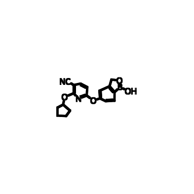 N#Cc1ccc(Oc2ccc3c(c2)COB3O)nc1OC1CCCC1